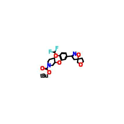 CC(C)(C)OC(=O)N1CCCC(Oc2cc(C3=NOC4(CCOC4)C3)ccc2OC(F)F)C1